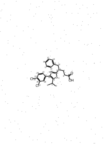 CC(C)c1sc(N(CCC(=O)O)Cc2ccccc2)nc1-c1ccc(Cl)c(Cl)c1